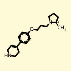 C[C@@H]1CCCN1CCCOc1ccc(C2=CCNCC2)cc1